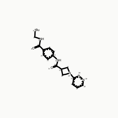 CC(C)(C)CNC(=O)c1ccc(NC(=O)C2CN(c3cccnn3)C2)cc1